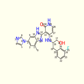 Cc1cc(-n2ccnc2)cc2[nH]c(-c3c(NC(CO)Cc4cccc(F)c4)cc[nH]c3=O)nc12